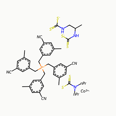 CC(CNC(=S)[S-])NC(=S)[S-].CCCN(CCC)C(=S)[S-].Cc1cc(C#N)cc(C[P+](Cc2cc(C)cc(C#N)c2)(Cc2cc(C)cc(C#N)c2)Cc2cc(C)cc(C#N)c2)c1.[Co+2]